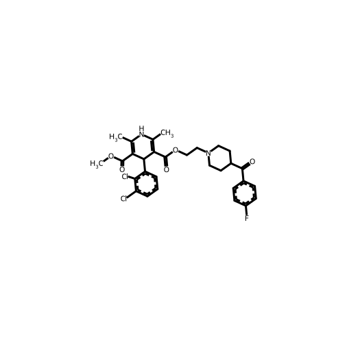 COC(=O)C1=C(C)NC(C)=C(C(=O)OCCN2CCC(C(=O)c3ccc(F)cc3)CC2)C1c1cccc(Cl)c1Cl